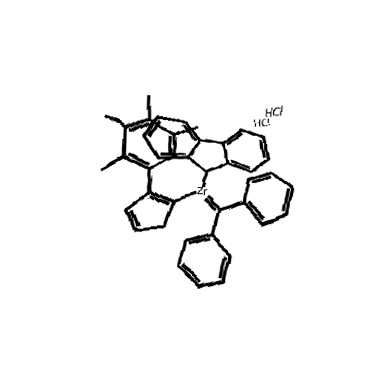 Cc1cc(C2=[C]([Zr](=[C](c3ccccc3)c3ccccc3)[CH]3c4ccccc4-c4ccccc43)CC=C2)c(C)c(C)c1C.Cl.Cl